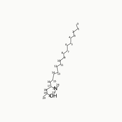 CCCCCCCCCCCCCCCCCC(CC(C)O)N(C)C